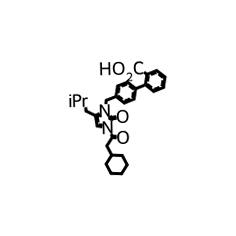 CC(C)Cc1cn(C(=O)CC2CCCCC2)c(=O)n1Cc1ccc(-c2ccccc2C(=O)O)cc1